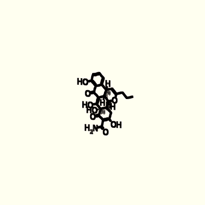 CCCC1=C[C@H]2c3cccc(O)c3C(=O)C3=C(O)[C@]4(O)C(=O)C(C(N)=O)=C(O)C[C@@H]4[C@@H](O1)[C@@H]32